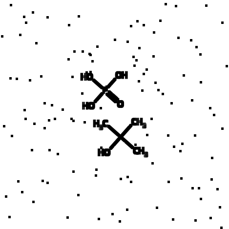 CC(C)(C)O.O=P(O)(O)O